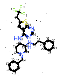 FC(F)(F)Cc1cc2c(N[C@H]3CCN(Cc4ccccc4)C[C@@H]3NCCc3ccccc3)ncnc2s1